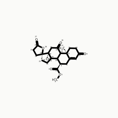 COC(=O)[C@@H]1CC2=CC(=O)CC[C@]2(C)C2C(=O)C[C@@]3(C)C(CC[C@@]34CCC(=O)O4)C21